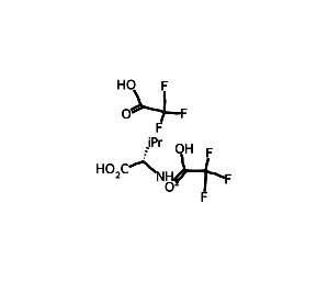 CC(C)[C@H](N)C(=O)O.O=C(O)C(F)(F)F.O=C(O)C(F)(F)F